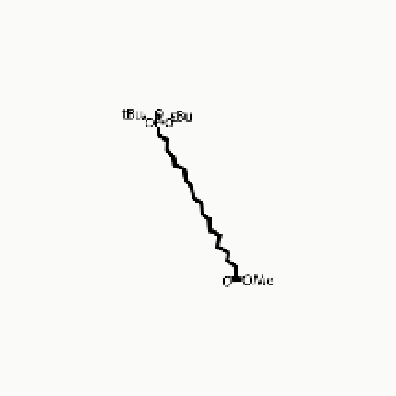 COC(=O)CCCCCCCCCCCCCCCCCCP(=O)(OC(C)(C)C)OC(C)(C)C